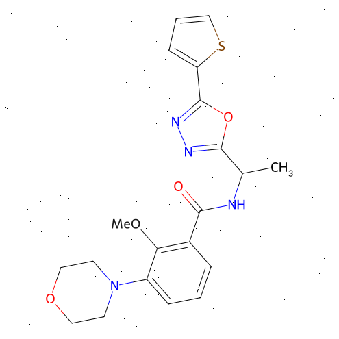 COc1c(C(=O)NC(C)c2nnc(-c3cccs3)o2)cccc1N1CCOCC1